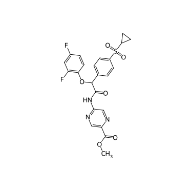 COC(=O)c1cnc(NC(=O)C(Oc2ccc(F)cc2F)c2ccc(S(=O)(=O)C3CC3)cc2)cn1